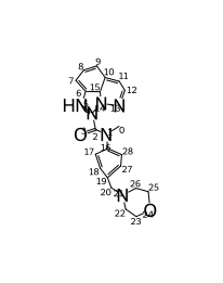 CN(C(=O)N1NC2=CC=CC3=CC=NN1C32)c1ccc(CN2CCOCC2)cc1